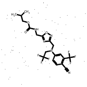 CC(C)COC(=O)NCc1nc(CN(CC(F)(F)F)c2ccc(C#N)c(C(F)(F)F)c2)no1